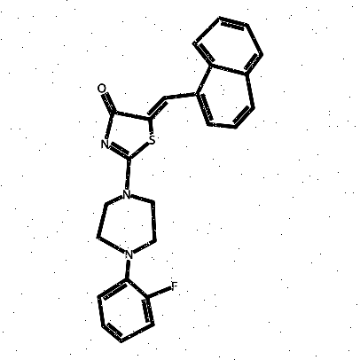 O=C1N=C(N2CCN(c3ccccc3F)CC2)SC1=Cc1cccc2ccccc12